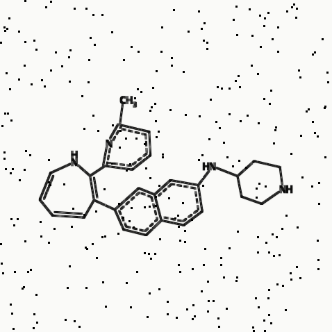 Cc1cccc(C2=C(c3ccc4ccc(NC5CCNCC5)cc4c3)C=CC=CN2)n1